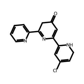 O=C1C=C(C2=CC(Cl)=CCN2)N=C(c2ccccn2)C1